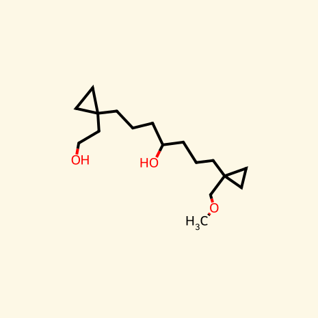 COCC1(CCCC(O)CCCC2(CCO)CC2)CC1